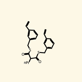 C=Cc1cccc(CSC(=O)C(CCC)C(=O)SCc2cccc(C=C)c2)c1